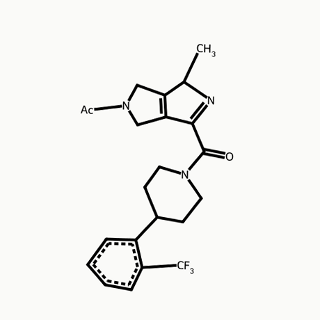 CC(=O)N1CC2=C(C1)C(C)N=C2C(=O)N1CCC(c2ccccc2C(F)(F)F)CC1